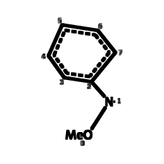 CO[N]c1ccccc1